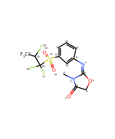 CN1C(=O)COC1=Nc1cccc(S(=O)(=O)C(F)(F)C(F)C(F)(F)F)c1